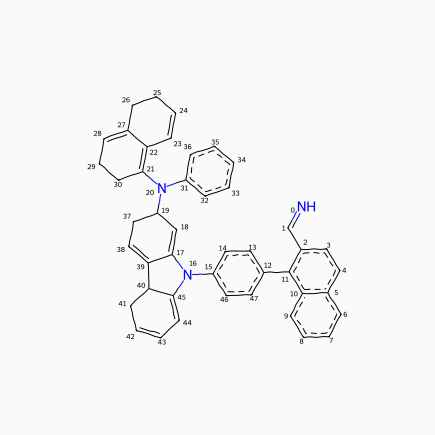 N=Cc1ccc2ccccc2c1-c1ccc(N2C3=CC(N(C4=C5C=CCCC5=CCC4)c4ccccc4)CC=C3C3CC=CC=C32)cc1